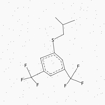 CC(C)CSc1cc(C(F)(F)F)cc(C(F)(F)F)c1